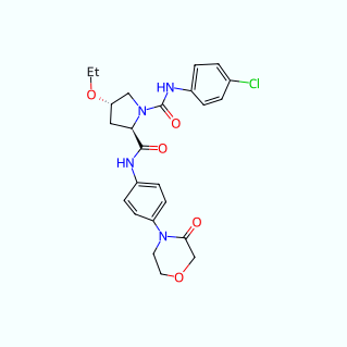 CCO[C@H]1C[C@H](C(=O)Nc2ccc(N3CCOCC3=O)cc2)N(C(=O)Nc2ccc(Cl)cc2)C1